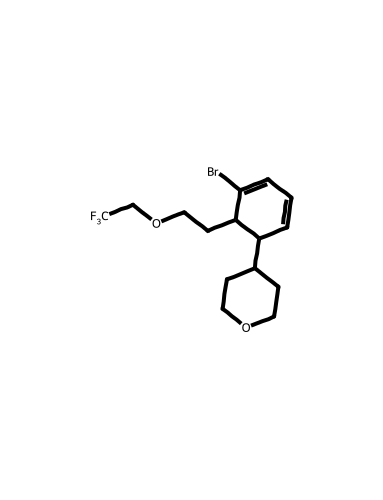 FC(F)(F)COCCC1C(Br)=CC=CC1C1CCOCC1